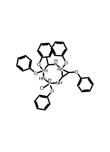 CC1N[PH]2(Oc3ccccc3)C(N[PH](Cl)(Oc3ccccc3)N[PH]1(Oc1ccccc1)Oc1ccccc1)C2Oc1ccccc1